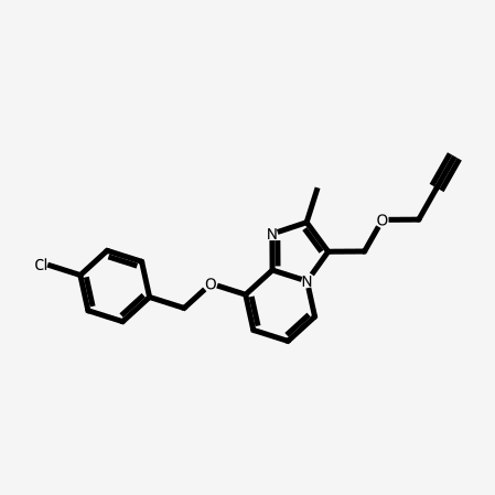 C#CCOCc1c(C)nc2c(OCc3ccc(Cl)cc3)cccn12